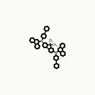 CC1(C)c2cc(N(c3ccc(-c4ccccc4)cc3)c3cc4ccccc4c4ccccc34)ccc2-c2ccc(N(c3ccc(-c4ccccc4)cc3)c3cc4ccccc4c4ccccc34)cc21